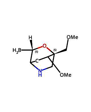 B[C@@H]1O[C@]2(COC)CNC1CC2OC